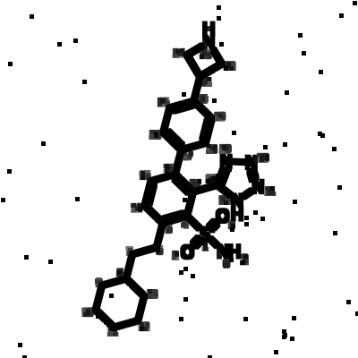 NS(=O)(=O)c1c(CCC2CCCCC2)ccc(-c2ccc(C3CNC3)cc2)c1-c1nnn[nH]1